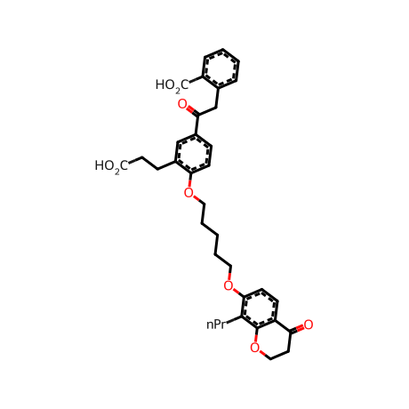 CCCc1c(OCCCCCOc2ccc(C(=O)Cc3ccccc3C(=O)O)cc2CCC(=O)O)ccc2c1OCCC2=O